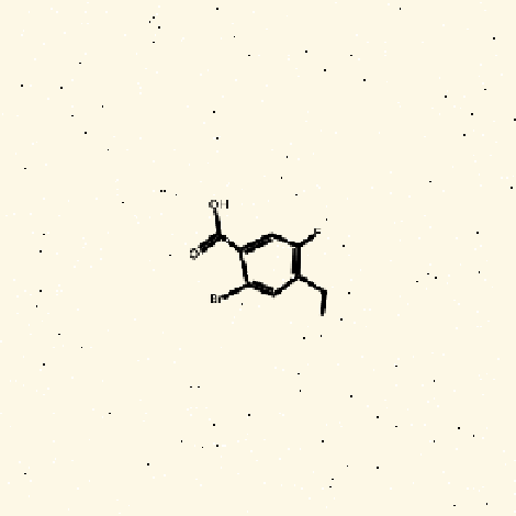 CCc1cc(Br)c(C(=O)O)cc1F